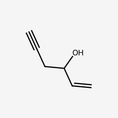 C#CCC(O)C=C